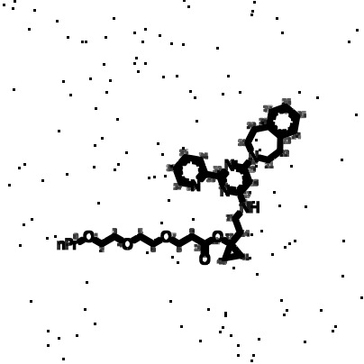 CCCOCCOCCOCCC(=O)OC1(CCNc2cc(N3CCc4ccccc4CC3)nc(-c3ccccn3)n2)CC1